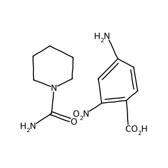 NC(=O)N1CCCCC1.Nc1ccc(C(=O)O)c([N+](=O)[O-])c1